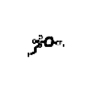 O=S(=O)(OC=CF)c1ccc(C(F)(F)F)cc1